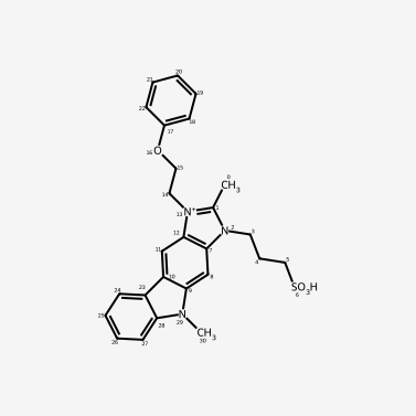 Cc1n(CCCS(=O)(=O)O)c2cc3c(cc2[n+]1CCOc1ccccc1)c1ccccc1n3C